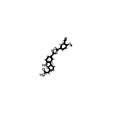 COc1ccc(-c2nc(-c3ccc4c(c3)C3CCC(CC(=O)O)C3N4)no2)cc1C#N